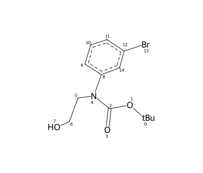 CC(C)(C)OC(=O)N(CCO)c1cccc(Br)c1